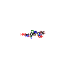 N[C@H](CO)COc1cc(Cl)c(-c2nnc(-c3cc(O)nc(OC4COC4)c3)s2)cc1F